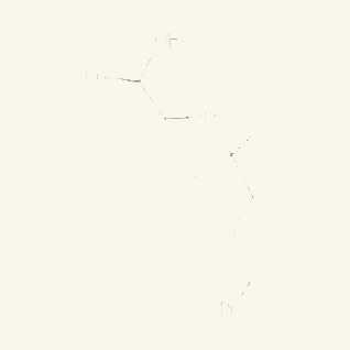 CCC(O)COC(C)(C)CCOC(C)C